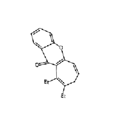 CCC1=C(CC)c2c(oc3ccccc3c2=O)C=CC1